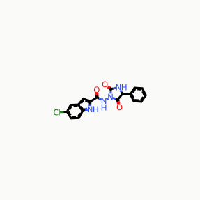 O=C(NN1C(=O)NC(c2ccccc2)C1=O)c1cc2cc(Cl)ccc2[nH]1